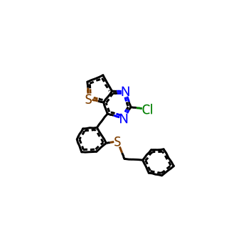 Clc1nc(-c2ccccc2SCc2ccccc2)c2sccc2n1